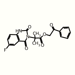 CC(C)(C(=O)OCC(=O)c1ccccc1)n1c(=O)[nH]c2ccc(F)cc2c1=O